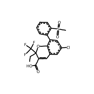 CCC1(C(F)(F)F)Oc2c(cc(Cl)cc2-c2ccccc2S(C)(=O)=O)C=C1C(=O)O